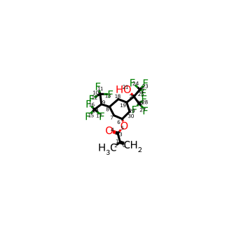 C=C(C)C(=O)OC1CC(C(C(F)(F)F)C(F)(F)F)CC(C(O)(C(F)(F)F)C(F)(F)F)C1